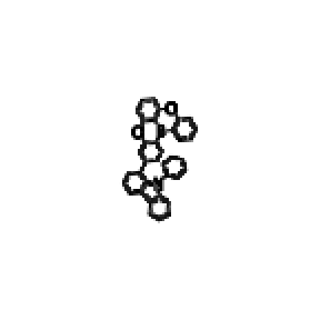 c1ccc(-n2c3ccccc3c3cccc(-c4ccc5c(c4)Oc4cccc6c4B5c4ccccc4O6)c32)cc1